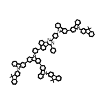 CC1(C)c2ccccc2-c2ccc(-n3c4ccccc4c4cc(-c5ccc6c(c5)c5ccccc5n6-c5ccc(-c6nc(-c7ccccc7)c7c(n6)-c6cccc8c(-c9cccc(-n%10c%11ccc(-c%12ccc%13c(c%12)c%12ccccc%12n%13-c%12ccc%13c(c%12)C(C)(C)c%12ccccc%12-%13)cc%11c%11cc(-c%12ccc%13c(c%12)c%12ccccc%12n%13-c%12ccc%13c(c%12)C(C)(C)c%12ccccc%12-%13)ccc%11%10)c9)ccc-7c68)cc5)ccc43)cc21